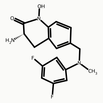 CN(Cc1ccc2c(c1)C[C@H](N)C(=O)N2O)c1cc(F)cc(F)c1